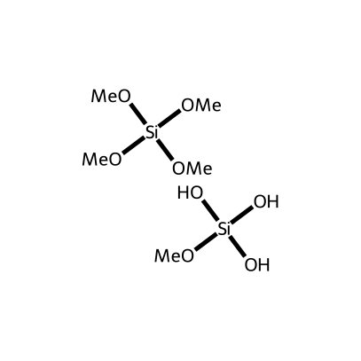 CO[Si](O)(O)O.CO[Si](OC)(OC)OC